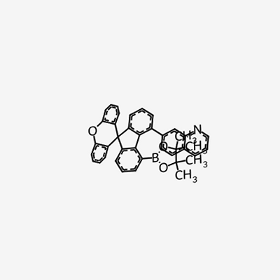 CC1(C)OB(c2cccc3c2-c2c(-c4ccc5cccnc5c4)cccc2C32c3ccccc3Oc3ccccc32)OC1(C)C